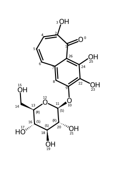 O=c1c(O)cccc2cc(O[C@@H]3O[C@H](CO)[C@@H](O)[C@H](O)[C@H]3O)c(O)c(O)c12